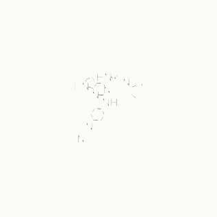 C=CC(=O)N1CC[C@H](Nc2nc(Nc3ccc(N4CCN(C)CC4)cc3)nc3[nH]ccc23)C1